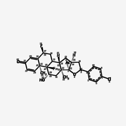 CC(=O)[C@@]12ON(c3ccc(Cl)cc3)C[C@@H]1C[C@H]1C3C[C@H](F)C4=CC(=O)C=C[C@]4(C)[C@@]3(F)[C@@H](O)C[C@@]12C